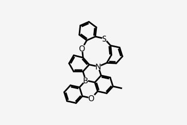 Cc1cc2c3c(c1)N1c4cccc(c4)Sc4ccccc4Oc4cccc(c41)B3c1ccccc1O2